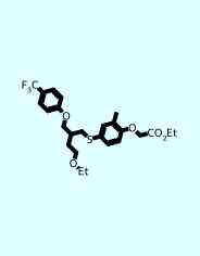 CCOCCC(COc1ccc(C(F)(F)F)cc1)CSc1ccc(OCC(=O)OCC)c(C)c1